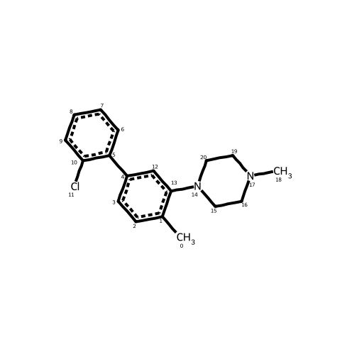 Cc1[c]cc(-c2ccccc2Cl)cc1N1CCN(C)CC1